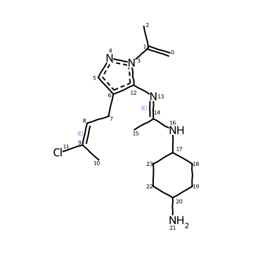 C=C(C)n1ncc(C/C=C(\C)Cl)c1/N=C(\C)NC1CCC(N)CC1